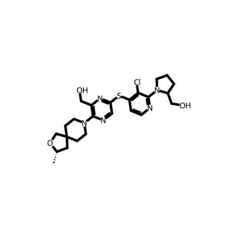 C[C@H]1CC2(CCN(c3ncc(Sc4ccnc(N5CCCC5CO)c4Cl)nc3CO)CC2)CO1